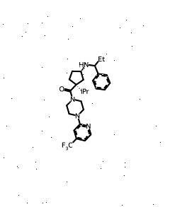 CCC(N[C@@H]1CC[C@@](C(=O)N2CCN(c3cc(C(F)(F)F)ccn3)CC2)(C(C)C)C1)c1ccccc1